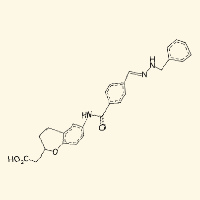 O=C(O)CC1CCc2cc(NC(=O)c3ccc(C=NNCc4ccccc4)cc3)ccc2O1